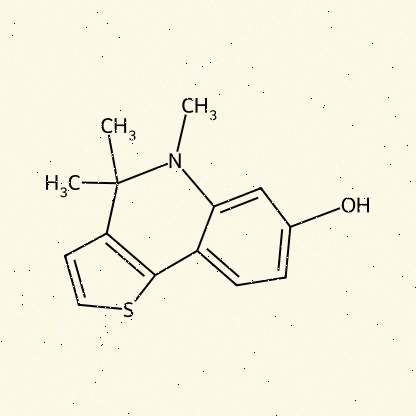 CN1c2cc(O)ccc2-c2sccc2C1(C)C